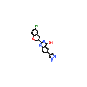 Oc1nc(C2COc3ccc(Cl)cc3C2)nc2ccc(-c3cn[nH]c3)cc12